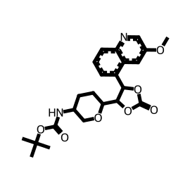 COc1cnc2cccc(C3OC(=O)OC3C3CCC(NC(=O)OC(C)(C)C)CO3)c2c1